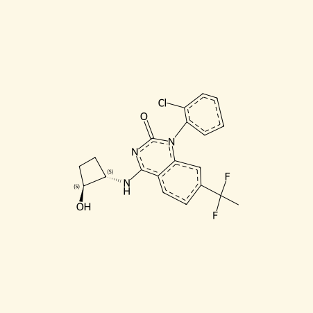 CC(F)(F)c1ccc2c(N[C@H]3CC[C@@H]3O)nc(=O)n(-c3ccccc3Cl)c2c1